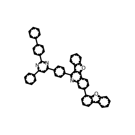 c1ccc(-c2ccc(-c3nc(-c4ccccc4)cc(-c4ccc(-c5nc6cc(-c7cccc8c7oc7ccccc78)ccc6c6oc7ccccc7c56)cc4)n3)cc2)cc1